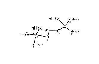 CCCCCC[Si](CCCCCC)(CCCCCC)[O][Sn][O][Si](CCCCCC)(CCCCCC)CCCCCC